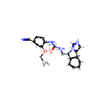 CCOc1cc(C#N)ccc1NC(=O)NCC1c2ccccc2-c2cncn21